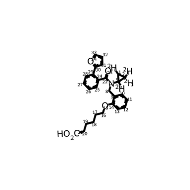 [2H]C1C([2H])([2H])C1([2H])N(Cc1ccccc1OCCCCCC(=O)O)C(=O)c1ccccc1-c1ccco1